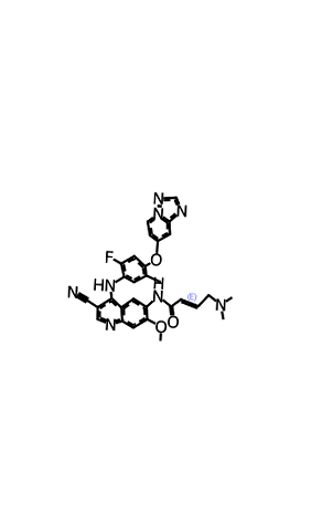 COc1cc2ncc(C#N)c(Nc3cc(C)c(Oc4ccn5ncnc5c4)cc3F)c2cc1NC(=O)/C=C/CN(C)C